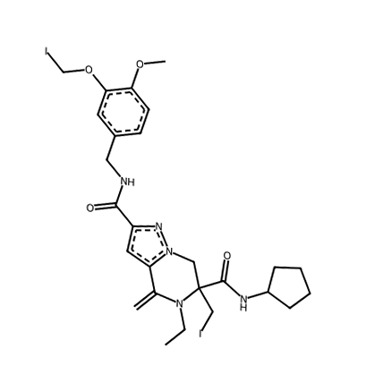 C=C1c2cc(C(=O)NCc3ccc(OC)c(OCI)c3)nn2CC(CI)(C(=O)NC2CCCC2)N1CC